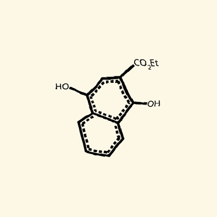 CCOC(=O)c1cc(O)c2ccccc2c1O